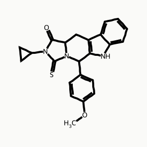 COc1ccc(C2c3[nH]c4ccccc4c3CC3C(=O)N(C4CC4)C(=S)N32)cc1